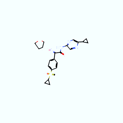 C=S(=O)(c1ccc(/C(=N\O[C@@H]2CCOC2)C(=O)Nc2cnc(C3CC3)cn2)cc1)C1CC1